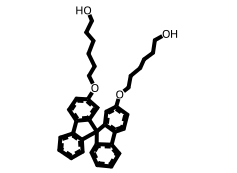 OCCCCCCOc1ccc2c(c1)C1(c3ccccc3-2)c2ccccc2-c2ccc(OCCCCCCO)cc21